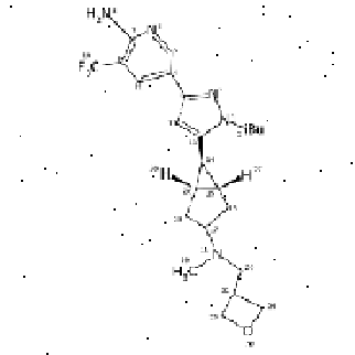 CCC(C)n1nc(-c2cnc(N)c(C(F)(F)F)c2)cc1[C@H]1[C@@H]2CC(N(C)CC3COC3)C[C@@H]21